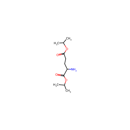 CC(C)OC(=O)CCC(N)C(=O)OC(C)C